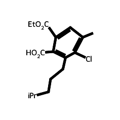 CCOC(=O)c1cc(C)c(Cl)c(CCCC(C)C)c1C(=O)O